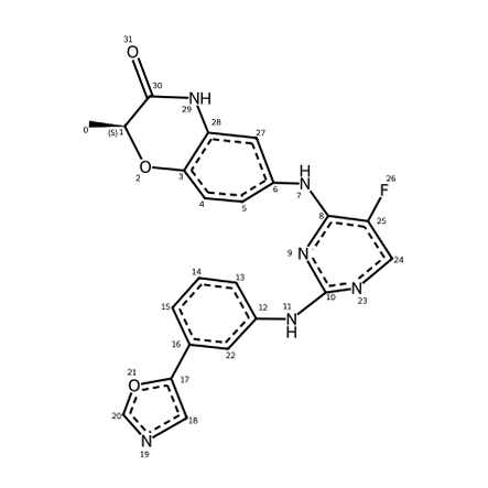 C[C@@H]1Oc2ccc(Nc3nc(Nc4cccc(-c5cnco5)c4)ncc3F)cc2NC1=O